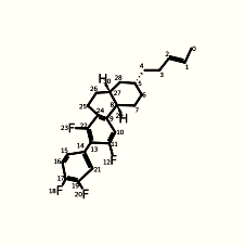 C/C=C/CC[C@@H]1CC[C@@H]2c3cc(F)c(-c4ccc(F)c(F)c4)c(F)c3CC[C@@H]2C1